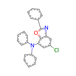 Clc1cc(N(c2ccccc2)c2ccccc2)c2oc(-c3ccccc3)nc2c1